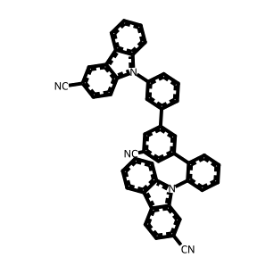 N#Cc1cc(-c2cccc(-n3c4ccccc4c4cc(C#N)ccc43)c2)cc(-c2ccccc2-n2c3ccccc3c3ccc(C#N)cc32)c1